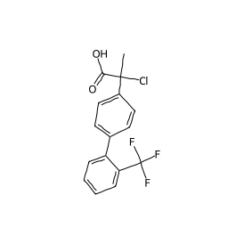 CC(Cl)(C(=O)O)c1ccc(-c2ccccc2C(F)(F)F)cc1